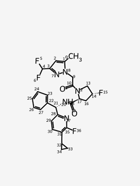 Cc1cc(C(F)F)nn1CC(=O)N1C[C@H](F)C[C@H]1C(=O)N[C@@H](c1ccccc1)c1ccc(C2CC2)c(F)n1